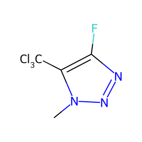 Cn1nnc(F)c1C(Cl)(Cl)Cl